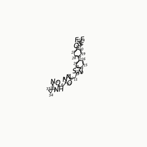 N#CC1(NC(=O)Cc2nnc(Cc3nc4ccc(-c5ccc(OC(F)(F)F)cc5)cc4s3)o2)CC1